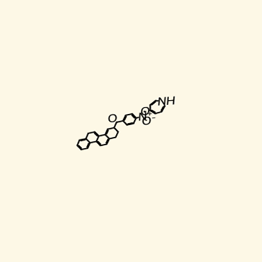 C1=CC=CNC=C1.O=C(c1ccc([N+](=O)[O-])cc1)C1C=c2c(ccc3c2=CCc2ccccc2-3)CC1